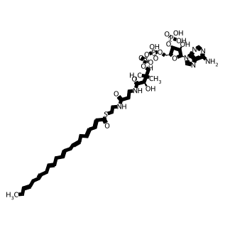 CCC=CCC=CCC=CCC=CCC=CCC=CC=CC(=O)SCCNC(=O)CCNC(=O)[C@H](O)C(C)(C)COP(=O)(O)OP(=O)(O)OC[C@H]1O[C@@H](n2cnc3c(N)ncnc32)[C@H](O)[C@@H]1OP(=O)(O)O